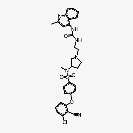 Cc1cc(NC(=O)NCCN2CCC(N(C)S(=O)(=O)c3ccc(Oc4cccc(Cl)c4C#N)cc3)C2)c2ccccc2n1